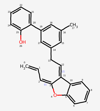 C=C/C=c1/oc2ccccc2/c1=C/Cc1cc(C)cc(-c2ccccc2O)c1